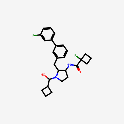 O=C(NC1CCN(C(O)C2CCC2)C1Cc1cccc(-c2cccc(F)c2)c1)C1(F)CCC1